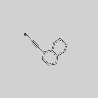 BrC#Cc1cccc2ccccc12